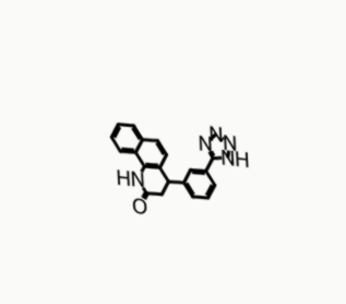 O=C1CC(c2cccc(-c3nnn[nH]3)c2)c2ccc3ccccc3c2N1